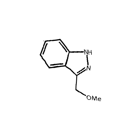 COCc1n[nH]c2c[c]ccc12